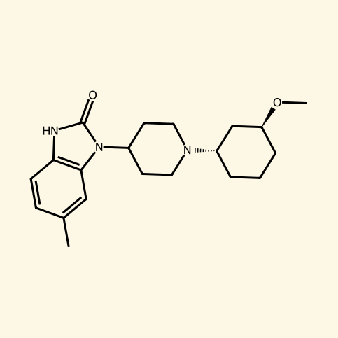 CO[C@H]1CCC[C@H](N2CCC(n3c(=O)[nH]c4ccc(C)cc43)CC2)C1